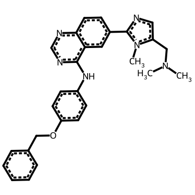 CN(C)Cc1cnc(-c2ccc3ncnc(Nc4ccc(OCc5ccccc5)cc4)c3c2)n1C